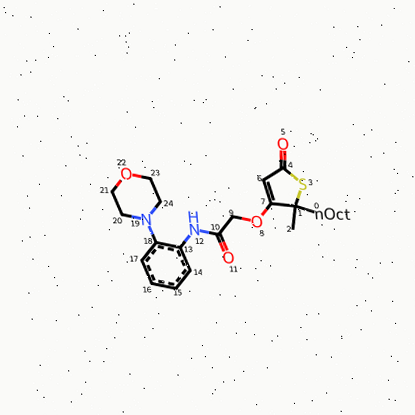 CCCCCCCCC1(C)SC(=O)C=C1OCC(=O)Nc1ccccc1N1CCOCC1